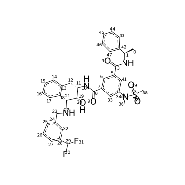 C[C@@H](NC(=O)c1cc(C(=O)N[C@@H](Cc2ccccc2)[C@H](O)CNCc2cccc(C(F)F)c2)cc(N(C)S(C)(=O)=O)c1)c1ccccc1